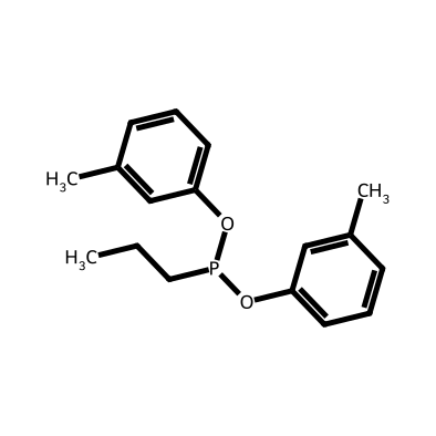 CCCP(Oc1cccc(C)c1)Oc1cccc(C)c1